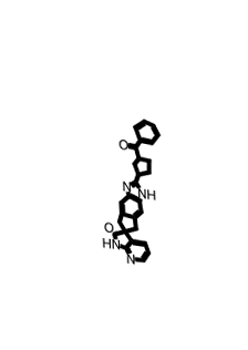 O=C(c1ccccc1)C1CCC(c2nc3cc4c(cc3[nH]2)CC2(C4)C(=O)Nc3ncccc32)C1